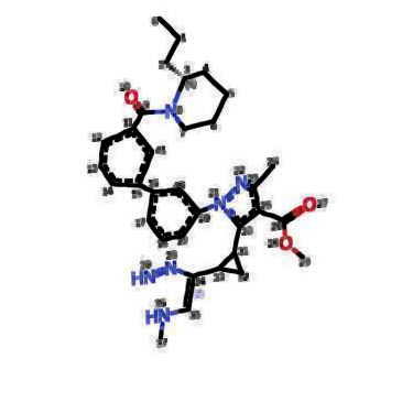 CCC[C@@H]1CCCCN1C(=O)c1cccc(-c2cccc(-n3nc(C)c(C(=O)OC)c3C3CC3/C(=C/NC)N=N)c2)c1